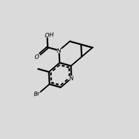 Cc1c(Br)cnc2c1N(C(=O)O)CC1CC21